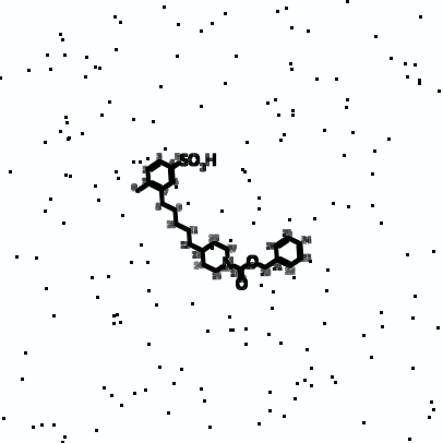 Cc1ccc(S(=O)(=O)O)cc1CCCCCC1CCN(C(=O)OCc2ccccc2)CC1